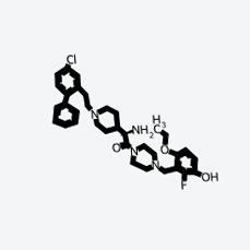 CCOc1ccc(O)c(F)c1CN1CCN(C(=O)[C@H](N)C2CCN(CCc3cc(Cl)ccc3-c3ccccc3)CC2)CC1